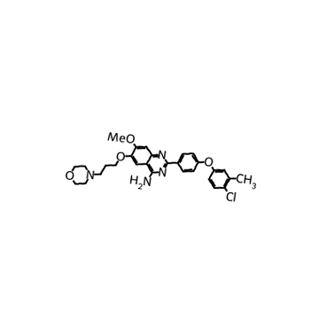 COc1cc2nc(-c3ccc(Oc4ccc(Cl)c(C)c4)cc3)nc(N)c2cc1OCCCN1CCOCC1